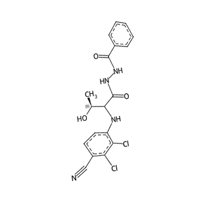 C[C@H](O)C(Nc1ccc(C#N)c(Cl)c1Cl)C(=O)NNC(=O)c1ccccc1